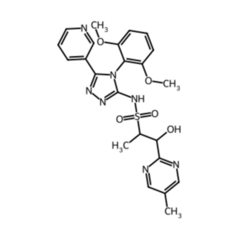 COc1cccc(OC)c1-n1c(NS(=O)(=O)C(C)C(O)c2ncc(C)cn2)nnc1-c1cccnc1